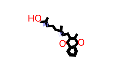 CC1=C(C/C=C(\C)CC/C=C(\C)CO)C(=O)c2ccccc2C1=O